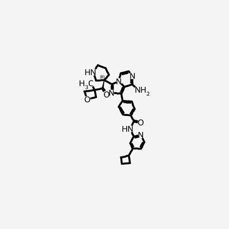 CC1(C(=O)[C@]2(c3nc(-c4ccc(C(=O)Nc5cc(C6CCC6)ccn5)cc4)c4c(N)nccn34)CCCNC2)COC1